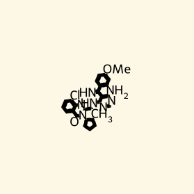 COc1ccc(C(=N)c2c(N)ncnc2NC(C)c2nc3c(Cl)cccc3c(=O)n2C2CCCC2)cc1